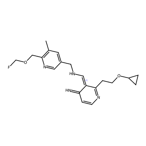 Cc1cc(CN/C=C2\C(=N)C=CN=C2CCOC2CC2)cnc1COCF